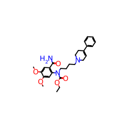 CCOC(=O)N(CCCCN1CC=C(c2ccccc2)CC1)c1cc(OC)c(OC)cc1C(N)=O